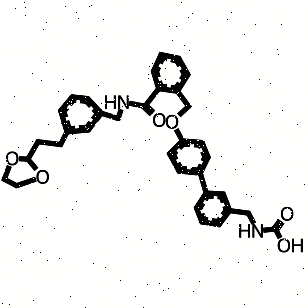 O=C(O)NCc1cccc(-c2ccc(OCc3ccccc3C(=O)NCc3cccc(CCC4OCCO4)c3)cc2)c1